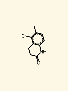 Cc1ccc2c(c1Cl)CCC(=O)N2